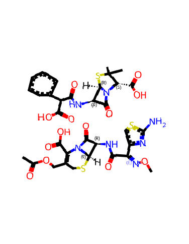 CC1(C)S[C@@H]2[C@H](NC(=O)C(C(=O)O)c3ccccc3)C(=O)N2[C@H]1C(=O)O.CO/N=C(/C(=O)N[C@@H]1C(=O)N2C(C(=O)O)=C(COC(C)=O)CS[C@H]12)c1csc(N)n1